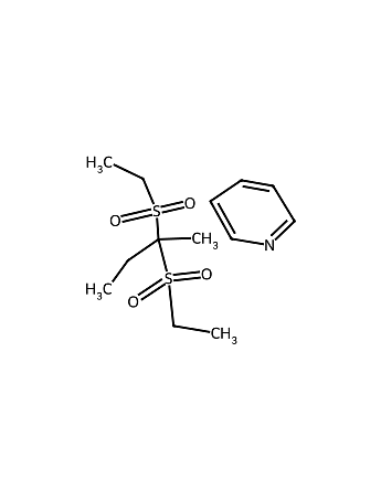 CCC(C)(S(=O)(=O)CC)S(=O)(=O)CC.c1ccncc1